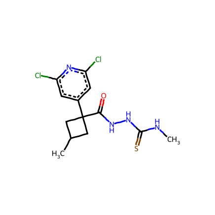 CNC(=S)NNC(=O)C1(c2cc(Cl)nc(Cl)c2)CC(C)C1